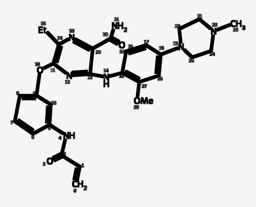 C=CC(=O)Nc1cccc(Oc2nc(Nc3ccc(N4CCN(C)CC4)cc3OC)c(C(N)=O)nc2CC)c1